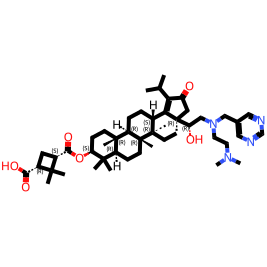 CC(C)C1=C2[C@H]3CC[C@@H]4[C@@]5(C)CC[C@H](OC(=O)[C@H]6C[C@@H](C(=O)O)C6(C)C)C(C)(C)[C@@H]5CC[C@@]4(C)[C@]3(C)CC[C@@]2([C@@H](O)CN(CCN(C)C)Cc2cncnc2)CC1=O